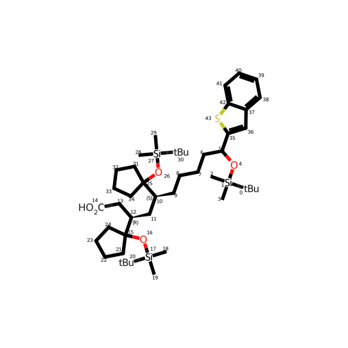 CC(C)(C)[Si](C)(C)OC(CCCC[C@@H](C[C@H](CC(=O)O)C1(O[Si](C)(C)C(C)(C)C)CCCC1)C1(O[Si](C)(C)C(C)(C)C)CCCC1)c1cc2ccccc2s1